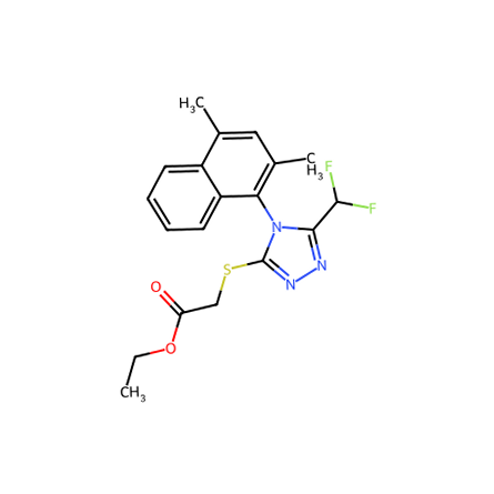 CCOC(=O)CSc1nnc(C(F)F)n1-c1c(C)cc(C)c2ccccc12